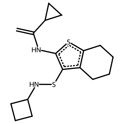 C=C(Nc1sc2c(c1SNC1CCC1)CCCC2)C1CC1